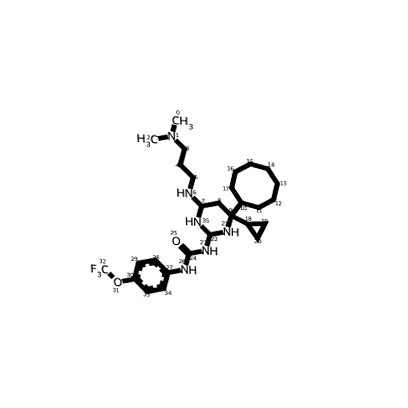 CN(C)CCCNC1CC(C2CCCCCCC2)(C2CC2)NC(NC(=O)Nc2ccc(OC(F)(F)F)cc2)N1